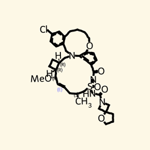 CO[C@H]1/C=C/C[C@H](C)CS(=O)(NC(=O)N2CC3(CCCO3)C2)=NC(=O)c2ccc3c(c2)N(Cc2ccc(Cl)cc2CCCCO3)C[C@@H]2CC[C@H]21